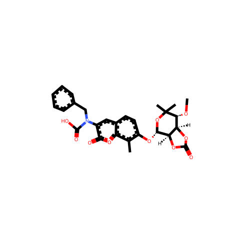 CO[C@@H]1[C@H]2OC(=O)O[C@H]2[C@H](Oc2ccc3cc(N(Cc4ccccc4)C(=O)O)c(=O)oc3c2C)OC1(C)C